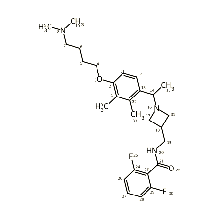 Cc1c(OCCCCN(C)C)ccc(C(C)N2CC(CNC(=O)c3c(F)cccc3F)C2)c1C